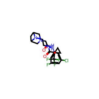 O=C(CN1CC2CC(C1)N2CCNC(=O)C1(C(F)(F)F)CC1)Nc1cc(F)cc(Cl)c1